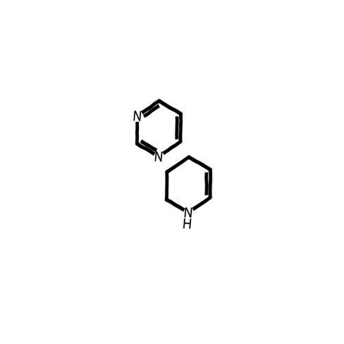 C1=CNCCC1.c1cncnc1